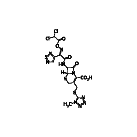 Cn1nnnc1SCC1=C(C(=O)O)N2C(=O)C(NC(=O)/C(=N/OC(=O)C(Cl)Cl)c3cnsn3)[C@H]2SC1